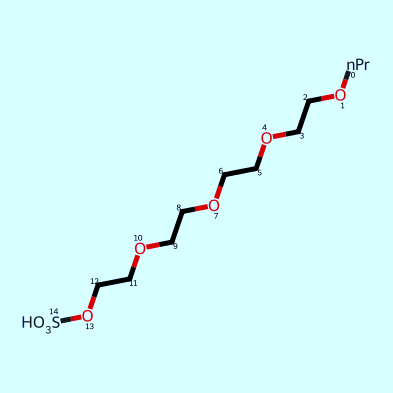 CCCOCCOCCOCCOCCOS(=O)(=O)O